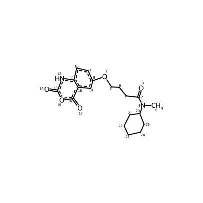 CN(C(=O)CCCOc1ccc2[nH]c(=O)oc(=O)c2c1)C1CCCCC1